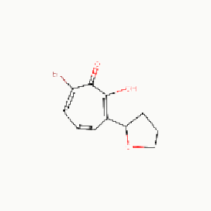 O=c1c(Br)cccc(C2CCCO2)c1O